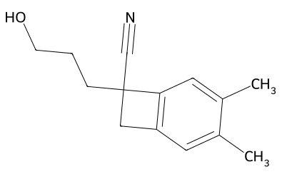 Cc1cc2c(cc1C)C(C#N)(CCCO)C2